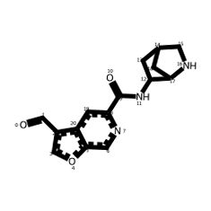 O=Cc1coc2cnc(C(=O)NC3CC4CNC3C4)cc12